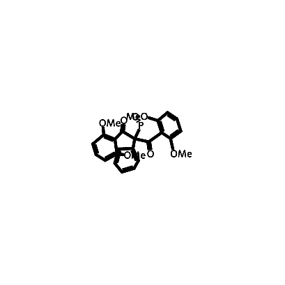 COc1cccc(OC)c1C(=O)C(P=O)(C(=O)c1c(OC)cccc1OC)c1ccccc1